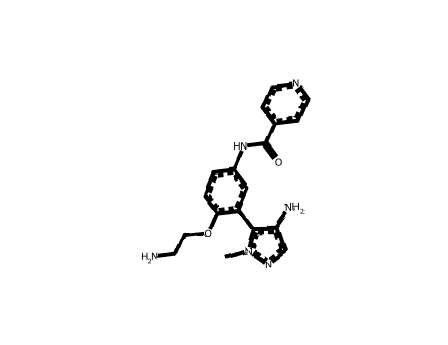 Cn1ncc(N)c1-c1cc(NC(=O)c2ccncc2)ccc1OCCN